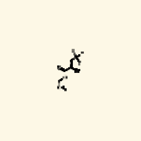 CCOC(=O)C(Br)=CC(F)(F)F